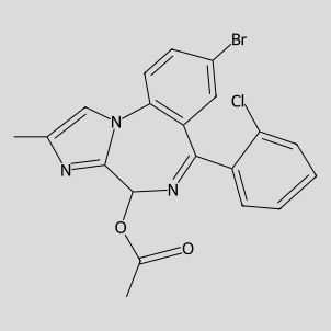 CC(=O)OC1N=C(c2ccccc2Cl)c2cc(Br)ccc2-n2cc(C)nc21